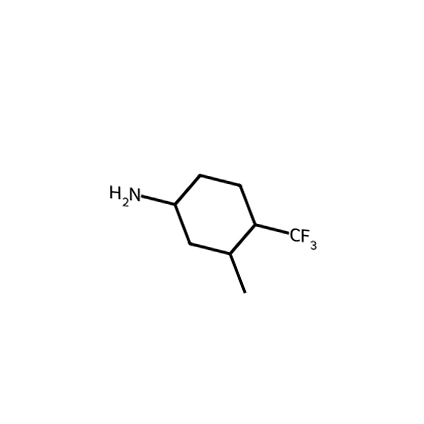 CC1CC(N)CCC1C(F)(F)F